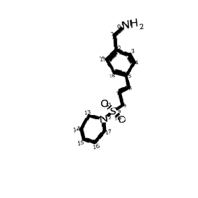 NCc1ccc(C=CCS(=O)(=O)N2CCCCC2)cc1